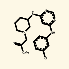 COC(=O)CN1CCCC(Nc2cc(Nc3cccc(Cl)c3)ncn2)C1